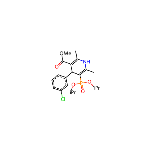 COC(=O)C1=C(C)NC(C)=C(P(=O)(OC(C)C)OC(C)C)C1c1cccc(Cl)c1